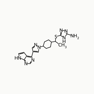 CC(Sc1nnc(N)[nH]1)C1CCC(n2cc(-c3ncnc4[nH]ccc34)cn2)CC1